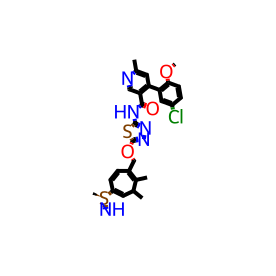 COc1ccc(Cl)cc1-c1cc(C)ncc1C(=O)Nc1nnc(OCC2=C(C)C(C)C=C([S@](C)=N)C=C2)s1